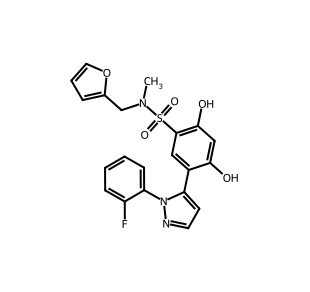 CN(Cc1ccco1)S(=O)(=O)c1cc(-c2ccnn2-c2ccccc2F)c(O)cc1O